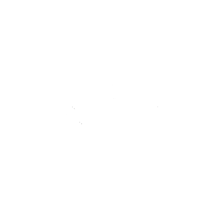 CSOCc1ccc(-c2noc(C)n2)cc1C